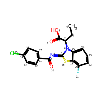 CCC(C(=O)O)n1c(=NC(=O)c2ccc(Cl)cc2)sc2c(F)cccc21